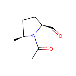 CC(=O)N1[C@H](C=O)CC[C@@H]1C